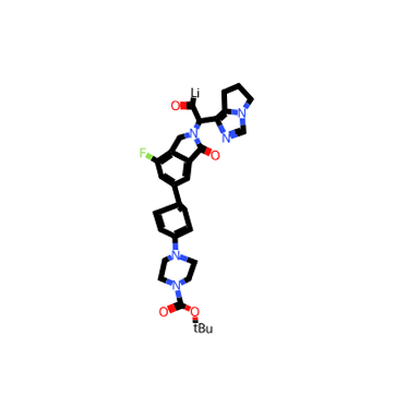 [Li][C](=O)C(c1ncn2c1CCC2)N1Cc2c(F)cc(-c3ccc(N4CCN(C(=O)OC(C)(C)C)CC4)cc3)cc2C1=O